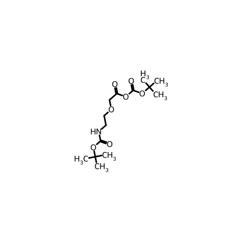 CC(C)(C)OC(=O)NCCOCC(=O)OC(=O)OC(C)(C)C